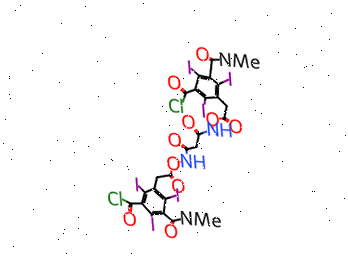 CNC(=O)c1c(I)c(CC(=O)ONC(=O)CC(=O)NOC(=O)Cc2c(I)c(C(=O)Cl)c(I)c(C(=O)NC)c2I)c(I)c(C(=O)Cl)c1I